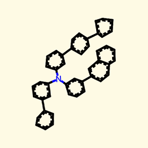 c1ccc(-c2ccc(-c3cccc(N(c4cccc(-c5ccccc5)c4)c4cccc(-c5ccc6ccccc6c5)c4)c3)cc2)cc1